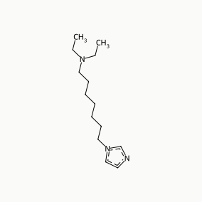 CCN(CC)CCCCCCCn1ccnc1